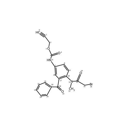 C#CCOC(=O)Nc1ccc(N(C)C(=O)CBr)c(C(=O)c2ccccc2)c1